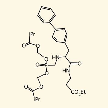 CCOC(=O)CCNC(=O)C(Cc1ccc(-c2ccccc2)cc1)NCP(=O)(OCOC(=O)C(C)C)OCOC(=O)C(C)C